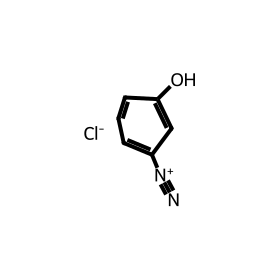 N#[N+]c1cccc(O)c1.[Cl-]